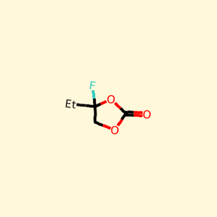 CCC1(F)COC(=O)O1